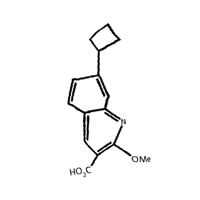 COc1nc2cc(C3CCC3)ccc2cc1C(=O)O